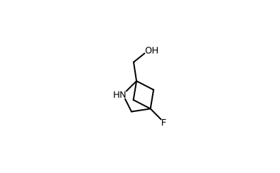 OCC12CC(F)(CN1)C2